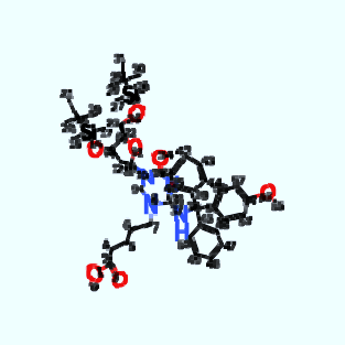 COC(=O)CCCCN1CN([C@H]2C[C@H](O[Si](C)(C)C(C)(C)C)[C@@H](CO[Si](C)(C)C(C)(C)C)O2)C(=O)N=C1NC(c1ccccc1)(c1ccccc1)c1ccc(OC)cc1